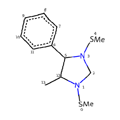 CSN1CN(SC)C(c2ccccc2)C1C